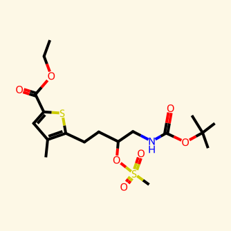 CCOC(=O)c1cc(C)c(CCC(CNC(=O)OC(C)(C)C)OS(C)(=O)=O)s1